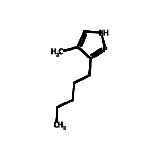 CCCCCc1p[nH]cc1C